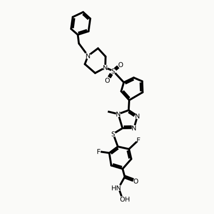 Cn1c(Sc2c(F)cc(C(=O)NO)cc2F)nnc1-c1cccc(S(=O)(=O)N2CCN(Cc3ccccc3)CC2)c1